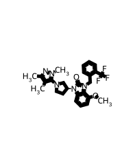 COc1cccc2c1n(Cc1ccccc1C(F)(F)F)c(=O)n2[C@@H]1CCN(c2c(C)c(C)nn2C)C1